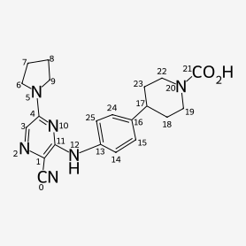 N#Cc1ncc(N2CCCC2)nc1Nc1ccc(C2CCN(C(=O)O)CC2)cc1